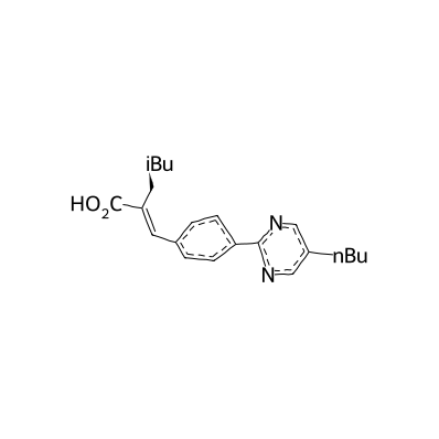 CCCCc1cnc(-c2ccc(C=C(C[C@H](C)CC)C(=O)O)cc2)nc1